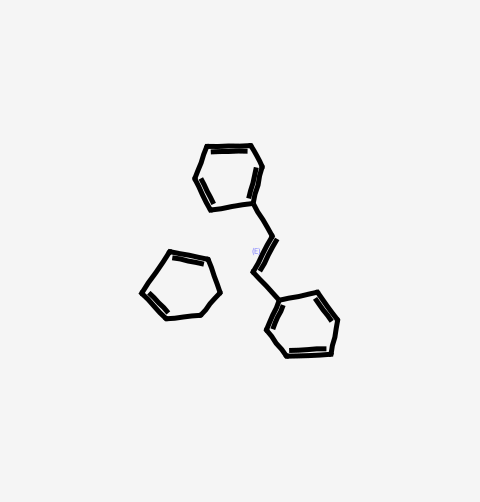 C(=C\c1ccccc1)/c1ccccc1.C1=CCCC=C1